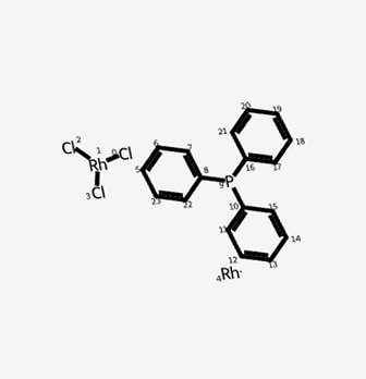 [Cl][Rh]([Cl])[Cl].[Rh].c1ccc(P(c2ccccc2)c2ccccc2)cc1